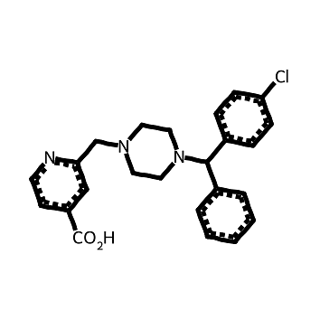 O=C(O)c1ccnc(CN2CCN(C(c3ccccc3)c3ccc(Cl)cc3)CC2)c1